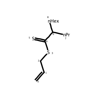 C=CCSC(=S)C(CCC)CCCCCC